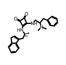 C[C@@H](CC1=CCc2ccccc21)Nc1c(NCC(Cc2ccccc2)N(C)C)c(=O)c1=O